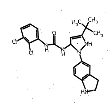 CC(C)(C)C1=CC(NC(=O)Nc2cccc(Cl)c2Cl)N(c2ccc3c(c2)CCN3)N1